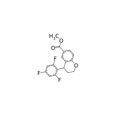 COC(=O)c1ccc2c(c1)C(c1c(F)cc(F)cc1F)CCO2